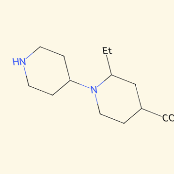 CCC1CC(C(=O)O)CCN1C1CCNCC1